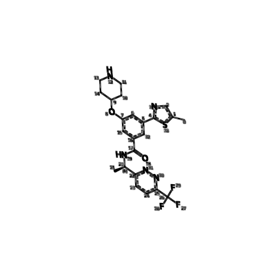 Cc1cnc(-c2cc(OC3CCNCC3)cc(C(=O)N[C@H](C)c3ccc(C(F)(F)F)nn3)c2)s1